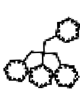 c1ccc(CC(Cc2ccccc2)(Cc2ccccc2)c2ccccc2)cc1